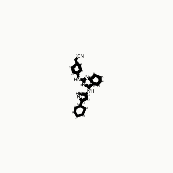 N#CCc1ccc(Nc2nc(Nc3cc(C4CCCCC4)n[nH]3)c3ccccc3n2)cc1